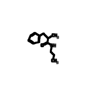 CCCNC(=O)C(C)Cc1ccccc1